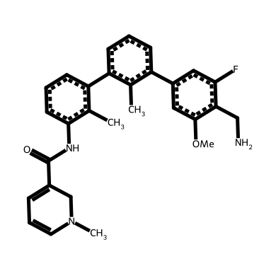 COc1cc(-c2cccc(-c3cccc(NC(=O)C4=CC=CN(C)C4)c3C)c2C)cc(F)c1CN